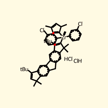 Cl.Cl.[CH2]=[Zr]([C]1=CC(C)=CC1C)([C]1=C(C(C)(C)C)c2cc3c(cc2C1(C)C)Cc1cc2c(cc1-3)C(C(C)(C)C)=CC2(C)C)([c]1cccc(Cl)c1)[c]1cccc(Cl)c1